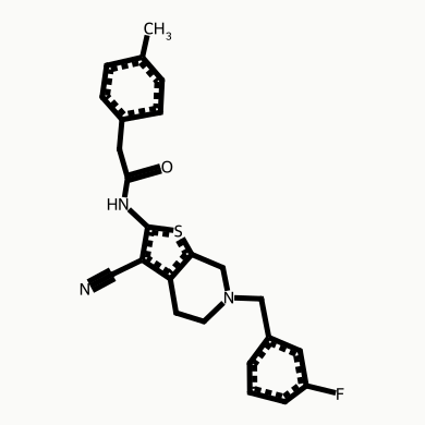 Cc1ccc(CC(=O)Nc2sc3c(c2C#N)CCN(Cc2cccc(F)c2)C3)cc1